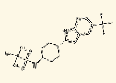 CC(C)(C)S(=O)(=O)N[C@H]1CC[C@H](c2cc3cc(C(F)(F)F)cnc3[nH]2)CC1